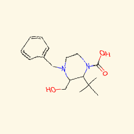 CC(C)(C)C1C(CO)N(Cc2ccccc2)CCN1C(=O)O